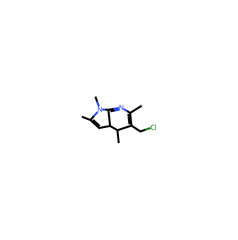 CC1=CC2C(=NC(C)=C(CCl)C2C)N1C